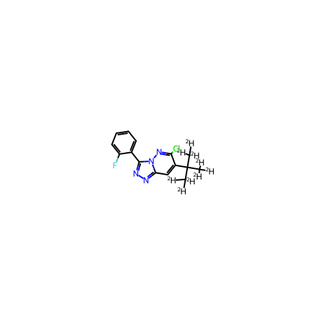 [2H]C([2H])([2H])C(c1cc2nnc(-c3ccccc3F)n2nc1Cl)(C([2H])([2H])[2H])C([2H])([2H])[2H]